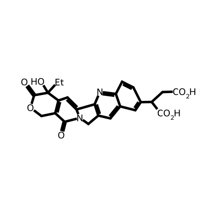 CCC1(O)C(=O)OCc2c1cc1n(c2=O)Cc2cc3cc(C(CC(=O)O)C(=O)O)ccc3nc2-1